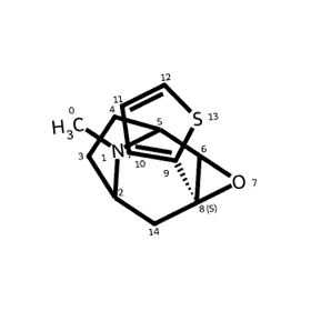 CN1C2CCC1C1O[C@@]1(c1[c]ccs1)C2